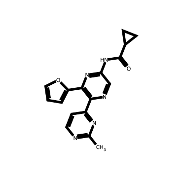 Cc1nccc(-c2ncc(NC(=O)C3CC3)nc2-c2ccco2)n1